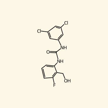 O=C(Nc1cc(Cl)cc(Cl)c1)Nc1cccc(F)c1CO